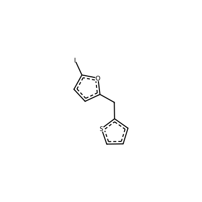 Ic1ccc(Cc2cccs2)o1